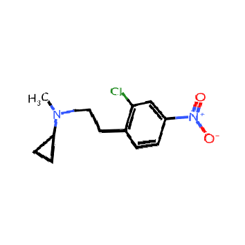 CN(CCc1ccc([N+](=O)[O-])cc1Cl)C1CC1